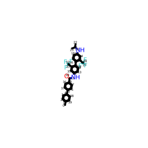 Cc1ccc(-c2ccc(C(=O)Nc3ccc(-c4ccc(NC(C)C)cc4C(F)(F)F)c(C(F)(F)F)c3)cc2)cc1